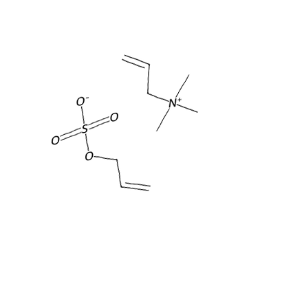 C=CCOS(=O)(=O)[O-].C=CC[N+](C)(C)C